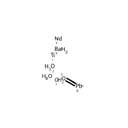 O.O.O.[BaH2].[Nd].[O]=[Pb].[Ti]